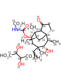 C=C[C@]1(C)C[C@@H](OC(=O)NC(=O)O)[C@@]2(C)C3C(=O)CC[C@@]3(CC[C@H]2C)[C@@H](C)[C@@H]1O.O=C(O)C(O)C(O)C(=O)O